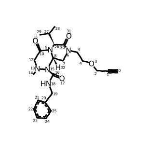 C#CCOCCN1C[C@H]2N(C(=O)CN(C)N2C(=O)NCc2ccccc2)[C@@H](C(C)C)C1=O